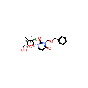 C[C@@H]1[C@@H](CO)O[C@@H](n2ccc(=O)n(COCc3ccccc3)c2=O)[C@]1(C)Cl